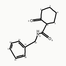 O=C1CCCCC1C(=O)NCc1ccccc1